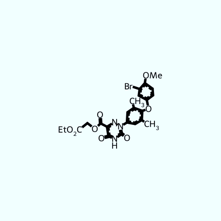 CCOC(=O)COC(=O)c1nn(-c2cc(C)c(Oc3ccc(OC)c(Br)c3)c(C)c2)c(=O)[nH]c1=O